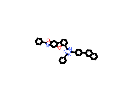 c1ccc(-c2nc(-c3ccc(-c4ccc5ccccc5c4)cc3)nc(-c3cccc4c3oc3cc5nc(-c6ccccc6)oc5cc34)n2)cc1